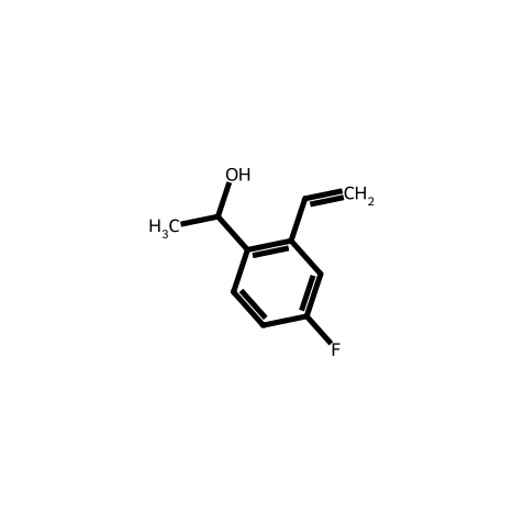 C=Cc1cc(F)ccc1C(C)O